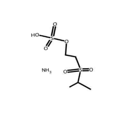 CC(C)S(=O)(=O)CCOS(=O)(=O)O.N